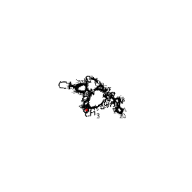 CO[C@H]1/C=C/C[C@H](C)CS(=O)(NC(=O)c2cnn(C3CCC3)c2)=NC(=O)c2ccc3c(c2)N(Cc2ccc(Cl)cc2CCCCO3)C[C@@H]2CC[C@H]21